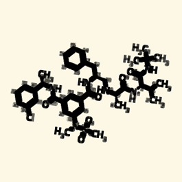 CC(C)[C@H](NC(=O)[C@H](C)NC[C@H](Cc1ccccc1)NC(=O)c1cc(C(=O)N[C@H](C)c2cccc(Cl)c2)cc(N(C)S(C)(=O)=O)c1)C(=O)NC(C)(C)C